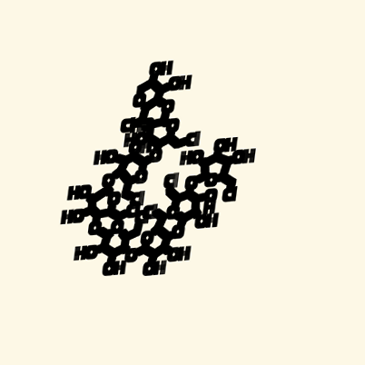 OC1COC(CCl)C(OC2OC(CCl)C(OC3OC(CCl)C(OC4OC(CCl)C(OC5OC(CCl)C(OC6OC(CCl)C(OC7OC(CCl)C(OC8OC(CCl)C(O)C(O)C8O)C(O)C7O)C(O)C6O)C(O)C5O)C(O)C4O)C(O)C3O)C(O)C2O)C1O